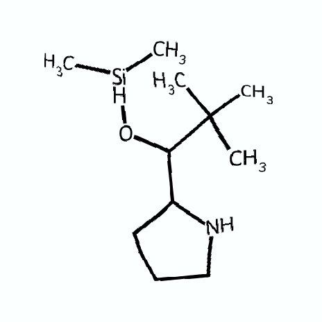 C[SiH](C)OC(C1CCCN1)C(C)(C)C